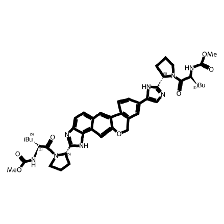 CC[C@H](C)C(NC(=O)OC)C(=O)N1CCC[C@H]1c1ncc(-c2ccc3c(c2)COc2cc4c(ccc5nc([C@@H]6CCCN6C(=O)[C@@H](NC(=O)OC)[C@@H](C)CC)[nH]c54)cc2-3)[nH]1